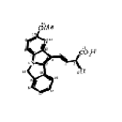 CCC(C=Cc1c2n(c3ccc(OC)nc13)Cc1ccccc1-2)C(=O)O